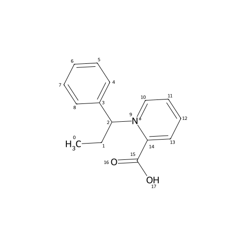 CCC(c1ccccc1)[n+]1ccccc1C(=O)O